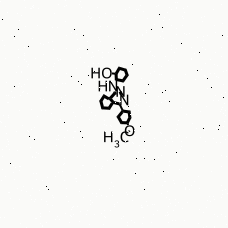 COc1ccc(-c2nnc(Nc3ccccc3O)c3ccccc23)cc1